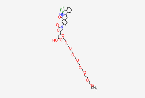 COCCOCCOCCOCCOCCOCCOCCOCCOC(CC(=O)O)[C@@H]1CN(c2ccc3cc(-c4ccccc4C(F)(F)F)[nH]c(=O)c3c2)C(=O)O1